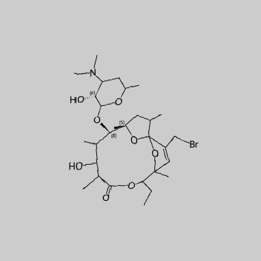 CCC1OC(=O)C(C)C(O)C(C)[C@@H](OC2OC(C)CC(N(C)C)[C@H]2O)[C@]2(C)CC(C)C3(OC1(C)C=C3CBr)O2